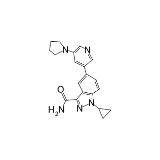 NC(=O)c1nn(C2CC2)c2ccc(-c3cncc(N4CCCC4)c3)cc12